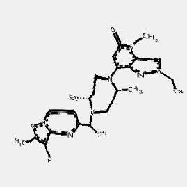 CC[C@@H]1CN(c2cc(=O)n(C)c3cn(CC#N)nc23)[C@@H](C)CN1C(C)c1ccn2nc(C)c(F)c2n1